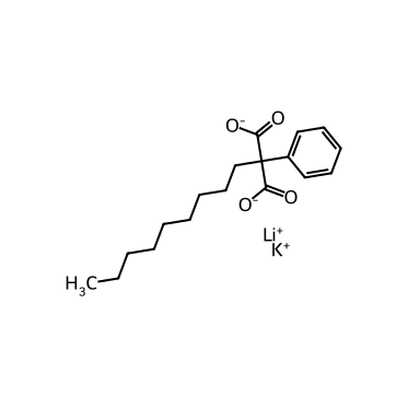 CCCCCCCCCC(C(=O)[O-])(C(=O)[O-])c1ccccc1.[K+].[Li+]